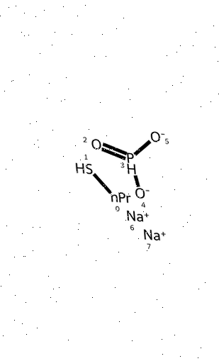 CCCS.O=[PH]([O-])[O-].[Na+].[Na+]